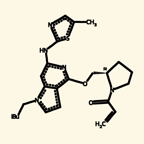 C=CC(=O)N1CCC[C@H]1COc1nc(Nc2ncc(C)s2)cc2c1ccn2CC(C)CC